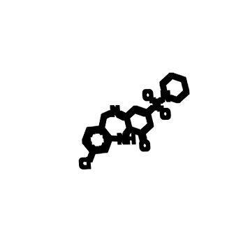 O=C1CC(S(=O)(=O)N2CCCCC2)=CC2=NCc3ccc(Cl)cc3NC12